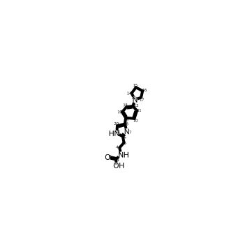 O=C(O)NCCc1nc(-c2ccc(N3CCCC3)cc2)c[nH]1